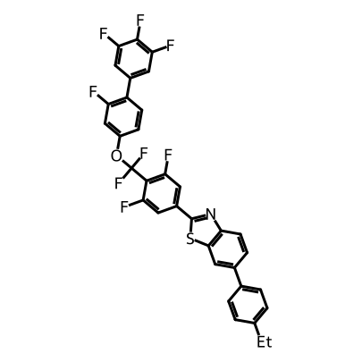 CCc1ccc(-c2ccc3nc(-c4cc(F)c(C(F)(F)Oc5ccc(-c6cc(F)c(F)c(F)c6)c(F)c5)c(F)c4)sc3c2)cc1